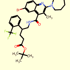 Cc1c(N2CCCCCC2)nc2ccc(Br)cc2c1C(=O)NCC(CCC(=O)OC(C)(C)C)c1ccccc1C(F)(F)F